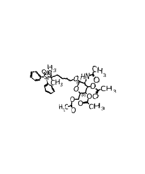 CC(=O)NC1C(OC(C)=O)[C@@H](OC(C)=O)C(COC(C)=O)O[C@H]1OCCCCC(C)(C)[Si](O)(c1ccccc1)c1ccccc1